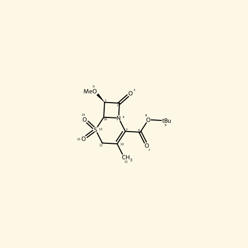 CO[C@H]1C(=O)N2C(C(=O)OC(C)(C)C)=C(C)CS(=O)(=O)C12